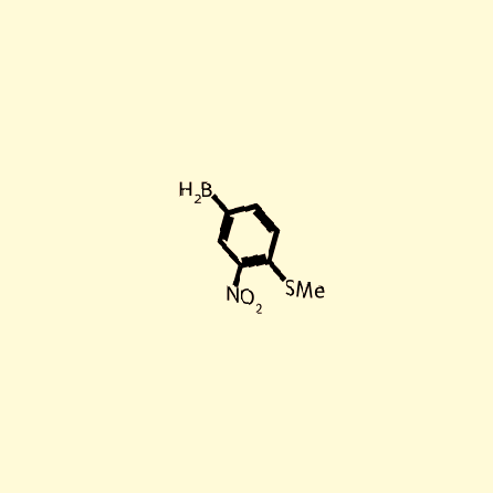 Bc1ccc(SC)c([N+](=O)[O-])c1